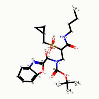 CCCCNC(=O)C(CN(C(=O)OC(C)(C)C)C(O)c1nc2ccccc2o1)S(=O)(=O)CC1CC1